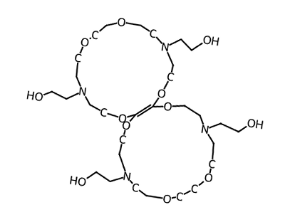 OCCN1CCOCCOCCN(CCO)CCOC2=C(OCC1)OCCN(CCO)CCOCCOCCN(CCO)CCO2